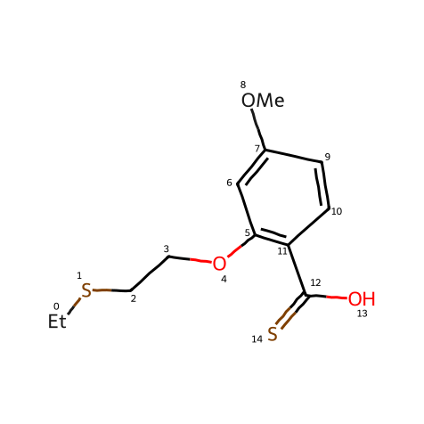 CCSCCOc1cc(OC)ccc1C(O)=S